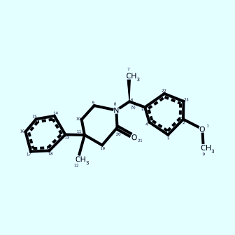 COc1ccc([C@H](C)N2CCC(C)(c3ccccc3)CC2=O)cc1